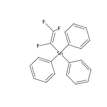 FC(F)=[C](F)[Sn]([c]1ccccc1)([c]1ccccc1)[c]1ccccc1